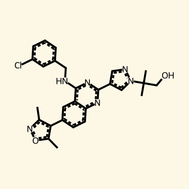 Cc1noc(C)c1-c1ccc2nc(-c3cnn(C(C)(C)CO)c3)nc(NCc3cccc(Cl)c3)c2c1